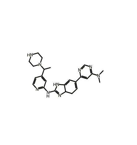 CC(c1ccnc(NC2=NC3CC=C(c4cc(N(C)C)ncn4)C=C3N2)c1)N1CCNCC1